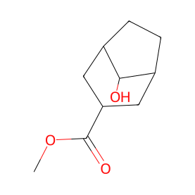 COC(=O)C1CC2CCC(C1)C2O